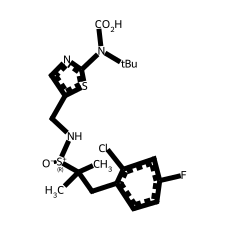 CC(C)(C)N(C(=O)O)c1ncc(CN[S@@+]([O-])C(C)(C)Cc2ccc(F)cc2Cl)s1